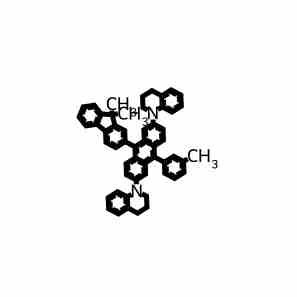 Cc1cccc(-c2c3ccc(N4CCCc5ccccc54)cc3c(-c3ccc4c(c3)C(C)(C)c3ccccc3-4)c3ccc(N4CCCc5ccccc54)cc23)c1